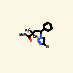 CCc1cn(C(CC(C)(C)C(=O)OC)c2ccccc2)nn1